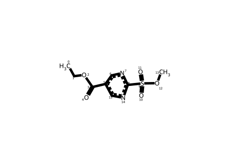 CCOC(=O)c1cnc(S(=O)(=O)OC)nc1